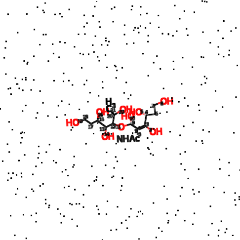 CC(=O)N/C(=C(\O)[C@H](O)CCO)[C@@H](O)OC(C(O)[C@H](O)CCO)[C@@H](C)O